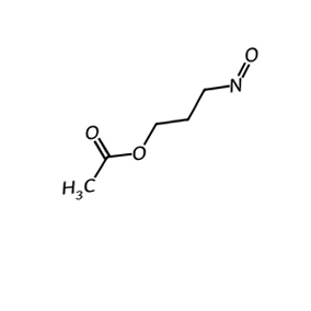 CC(=O)OCCCN=O